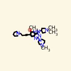 COc1cc2c(NC3CCN(C(C)C)CC3)nc(N3CCCN(C)CC3)nc2cc1C#CCCN1CCCCC1